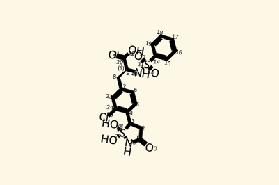 O=C1CC(c2ccc(C[C@H](NS(=O)(=O)c3ccccc3)C(=O)O)cc2Cl)S(O)(O)N1